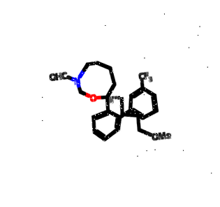 COCCCC[C@@]1(c2ccccc2-c2cccc(C(F)(F)F)c2)CCCCN(C=O)CO1